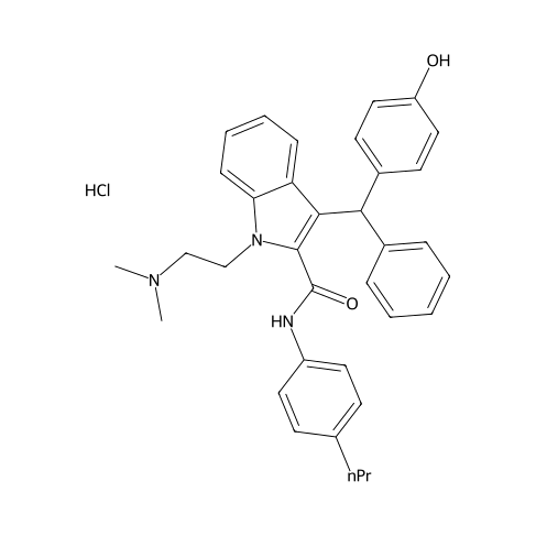 CCCc1ccc(NC(=O)c2c(C(c3ccccc3)c3ccc(O)cc3)c3ccccc3n2CCN(C)C)cc1.Cl